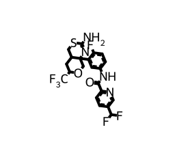 NC1=NC2(c3cc(NC(=O)c4ccc(C(F)F)cn4)ccc3F)COC(C(F)(F)F)CC2CS1